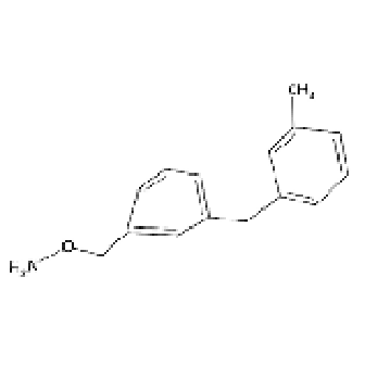 Cc1cccc(Cc2cccc(CON)c2)c1